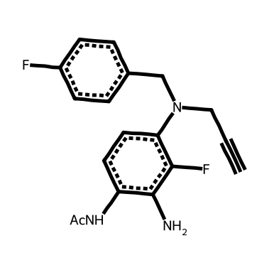 C#CCN(Cc1ccc(F)cc1)c1ccc(NC(C)=O)c(N)c1F